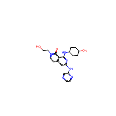 O=c1c2c(NC3CCC(O)CC3)nc(Nc3cnccn3)cc2ccn1CCO